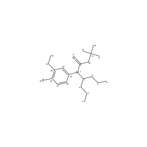 CCCC(CCC)N(C(=O)CC(C)(C)C)c1ccc(F)c(CC)c1